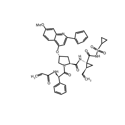 C=CC(=O)N[C@@H](C(=O)N1C[C@H](Oc2cc(-c3ccccc3)nc3cc(OC)ccc23)C[C@H]1C(=O)N[C@]1(C(=O)NS(=O)(=O)C2CC2)C[C@H]1C=C)c1ccccc1